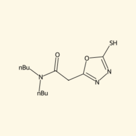 CCCCN(CCCC)C(=O)Cc1nnc(S)o1